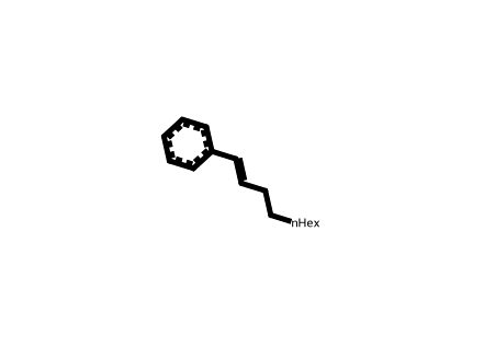 CCCCCCCCC=Cc1[c]cccc1